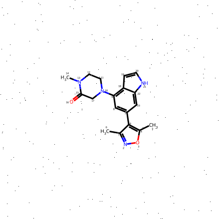 Cc1noc(C)c1-c1cc(N2CCN(C)C(=O)C2)c2cc[nH]c2c1